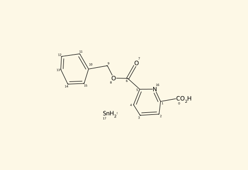 O=C(O)c1cccc(C(=O)OCc2ccccc2)n1.[SnH2]